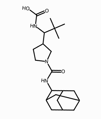 CC(C)(C)C(NC(=O)O)C1CCN(C(=O)NC2C3CC4CC(C3)CC2C4)C1